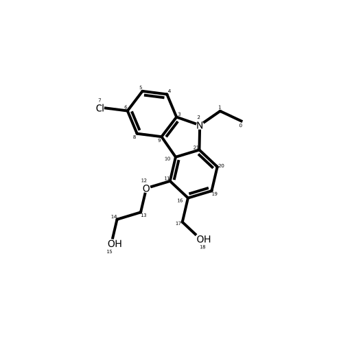 CCn1c2ccc(Cl)cc2c2c(OCCO)c(CO)ccc21